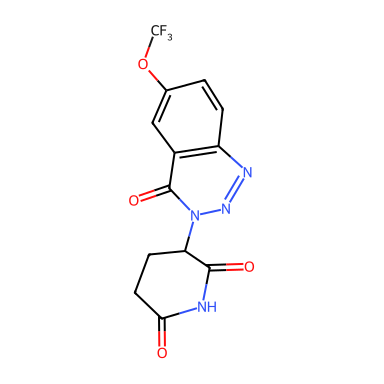 O=C1CCC(n2nnc3ccc(OC(F)(F)F)cc3c2=O)C(=O)N1